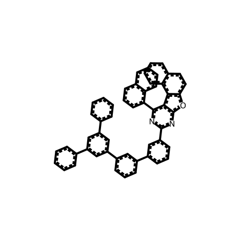 c1ccc(-c2cc(-c3ccccc3)cc(-c3cccc(-c4cccc(-c5nc(-c6cccc7ccccc67)c6c(n5)oc5ccc7ccccc7c56)c4)c3)c2)cc1